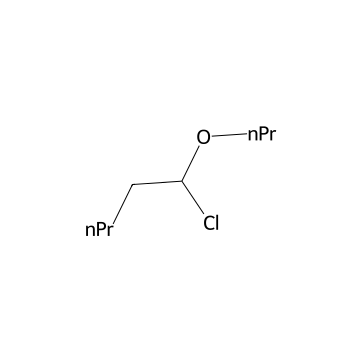 CCCCC(Cl)OCCC